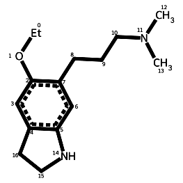 CCOc1cc2c(cc1CCCN(C)C)NCC2